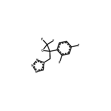 Fc1ccc(C2(Cn3cnnn3)OC2(F)F)c(F)c1